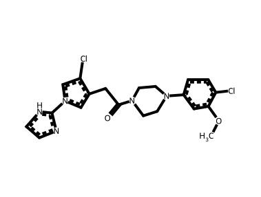 COc1cc(N2CCN(C(=O)Cc3cn(-c4ncc[nH]4)cc3Cl)CC2)ccc1Cl